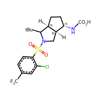 CC(C)(C)C1[C@H]2CC[C@H](NC(=O)O)[C@H]2CN1S(=O)(=O)c1ccc(C(F)(F)F)cc1Cl